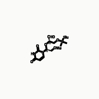 COC[C@@H](O[C@H](C=O)CO[Si](C)(C)C(C)(C)C)n1ccc(=O)[nH]c1=O